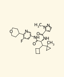 Cn1nccc1C(=O)N[C@H](C(=O)Nc1cnc(C2CCOCC2)c(F)c1)C(C1CCC1)C1(C)CC1